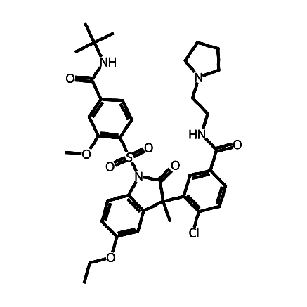 CCOc1ccc2c(c1)C(C)(c1cc(C(=O)NCCN3CCCC3)ccc1Cl)C(=O)N2S(=O)(=O)c1ccc(C(=O)NC(C)(C)C)cc1OC